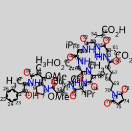 CC[C@H](C)[C@@H]([C@@H](CC(=O)N1CCC[C@H]1[C@H](OC)[C@@H](C)C(=O)N[C@H](C)[C@@H](O)c1ccccc1)OC)N(C)C(=O)C(NC(=O)[C@H](C(C)C)N(C)C(=O)[C@H](CC(=O)O)NC(=O)[C@@H](NC(=O)[C@H](CCC(=O)O)NC(=O)[C@H](CC(=O)O)NC(=O)CCCCCN1C(=O)C=CC1=O)C(C)C)C(C)C